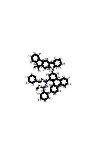 C=N/C(=N\C(=N/Cc1ccccc1)c1cc(-n2c3ccccc3c3cc4c(cc32)C(C)(C)c2ccccc2-4)cc2c3ccccc3c3ccccc3c12)c1ccccc1